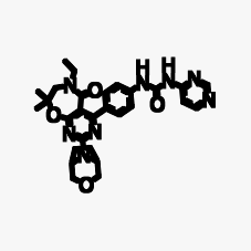 CCN1CC(C)(C)Oc2nc(N3C4CCC3COC4)nc(-c3ccc(NC(=O)Nc4ccncn4)cc3)c2C1=O